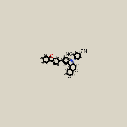 N#Cc1ccc(N2c3ccc(-c4ccc5c(c4)oc4ccccc45)cc3C3c4ccccc4C=CC32)c(C#N)c1